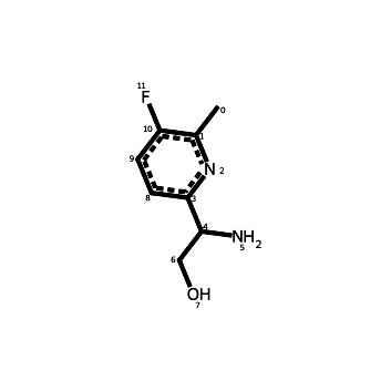 Cc1nc(C(N)CO)ccc1F